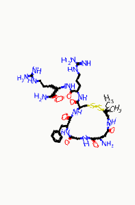 CC1(C)CNC(=O)CC(N)C(=O)NCC(=O)NC(Cc2ccccc2)C(=O)NC(C(=O)NC(CCCNC(=N)N)C(=O)NC(CCCNC(=N)N)C(N)=O)CSS1